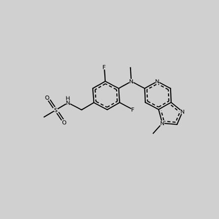 CN(c1cc2c(cn1)ncn2C)c1c(F)cc(CNS(C)(=O)=O)cc1F